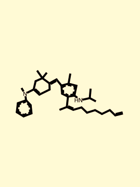 C=CCCCCC/C=C(/C)c1cc(/C=C2\CC=C(N(C)c3ccccc3)CC2(C)C)c(C)cc1NC(C)C